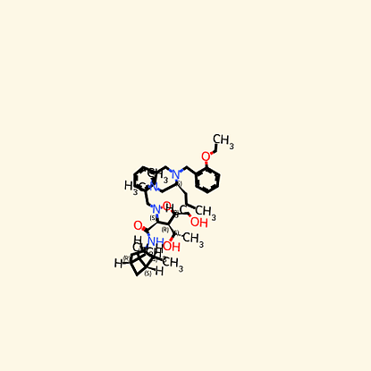 CCOc1ccccc1CN(Cc1cccc(CN2O[C@@H](CO)[C@@H]([C@H](C)O)[C@H]2C(=O)N[C@H]2C[C@H]3C[C@@H]([C@@H]2C)C3(C)C)c1)[C@@H](CC(C)C)CN(C)C